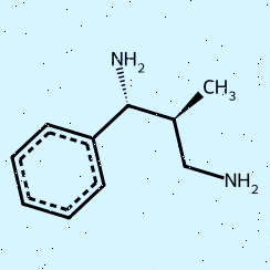 C[C@@H](CN)[C@@H](N)c1ccccc1